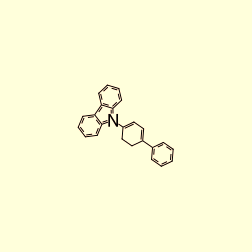 C1=C(c2ccccc2)CCC(n2c3ccccc3c3ccccc32)=C1